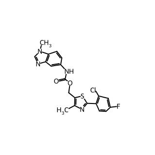 Cc1nc(-c2ccc(F)cc2Cl)sc1COC(=O)Nc1ccc2c(c1)ncn2C